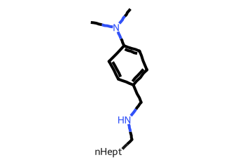 CCCCCCCCNCc1ccc(N(C)C)cc1